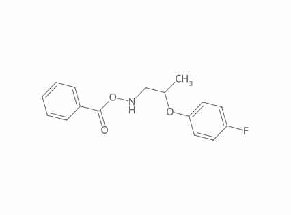 CC(CNOC(=O)c1ccccc1)Oc1ccc(F)cc1